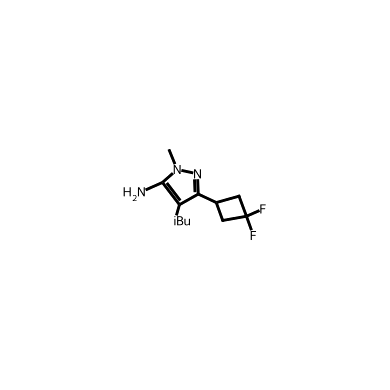 CCC(C)c1c(C2CC(F)(F)C2)nn(C)c1N